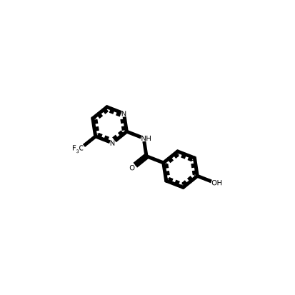 O=C(Nc1nccc(C(F)(F)F)n1)c1ccc(O)cc1